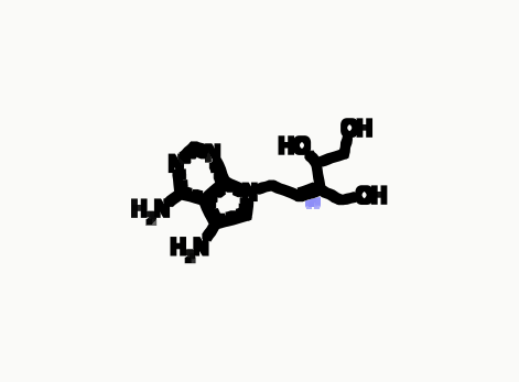 Nc1cn(C/C=C(/CO)C(O)CO)c2ncnc(N)c12